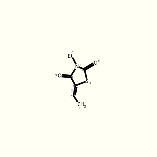 C/C=C1\SC(=O)N(CC)C1=O